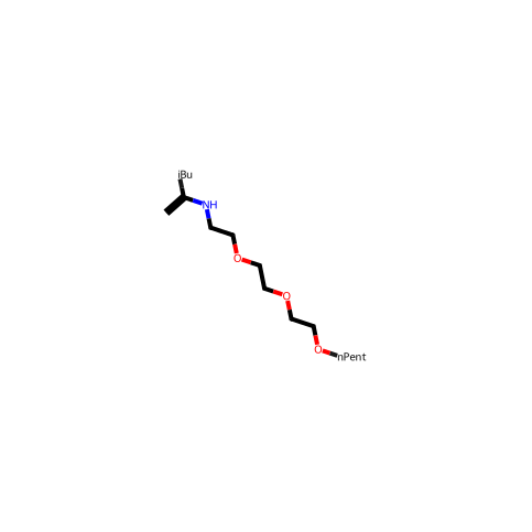 C=C(NCCOCCOCCOCCCCC)C(C)CC